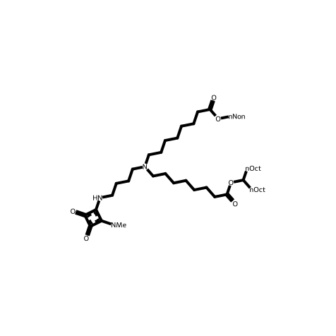 CCCCCCCCCOC(=O)CCCCCCCN(CCCCCCCC(=O)OC(CCCCCCCC)CCCCCCCC)CCCCNc1c(NC)c(=O)c1=O